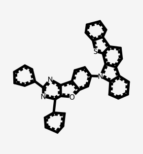 c1ccc(-c2nc(-c3ccccc3)c3oc4cc(-n5c6ccccc6c6ccc7c8ccccc8sc7c65)ccc4c3n2)cc1